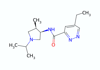 CCc1cnnc(C(=O)N[C@H]2CN(C(C)C)C[C@H]2C)c1